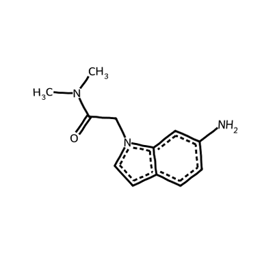 CN(C)C(=O)Cn1ccc2ccc(N)cc21